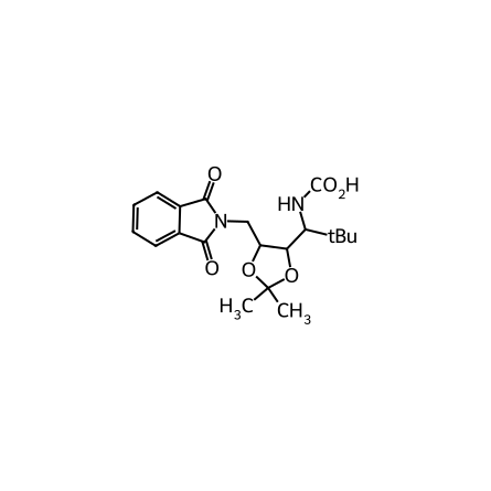 CC1(C)OC(CN2C(=O)c3ccccc3C2=O)C(C(NC(=O)O)C(C)(C)C)O1